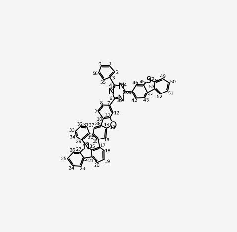 c1ccc(-c2nc(-c3ccc4c(c3)oc3cc(-c5cccc6c7ccccc7n(-c7ccccc7)c56)ccc34)nc(-c3ccc4c(c3)sc3ccccc34)n2)cc1